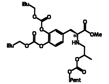 CCCC(C)OC(=O)OC(C)CN[C@@H](Cc1ccc(OC(=O)OCC(C)CC)c(OC(=O)OCC(C)CC)c1)C(=O)OC